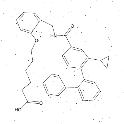 O=C(O)CCCCCOc1ccccc1CNC(=O)c1ccc(-c2ccccc2-c2ccccc2)c(C2CC2)c1